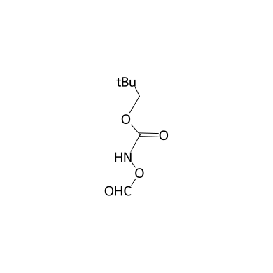 CC(C)(C)COC(=O)NOC=O